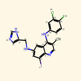 N#Cc1cnc2c(I)cc(NCc3cnc[nH]3)cc2c1Nc1ccc(F)c(Cl)c1